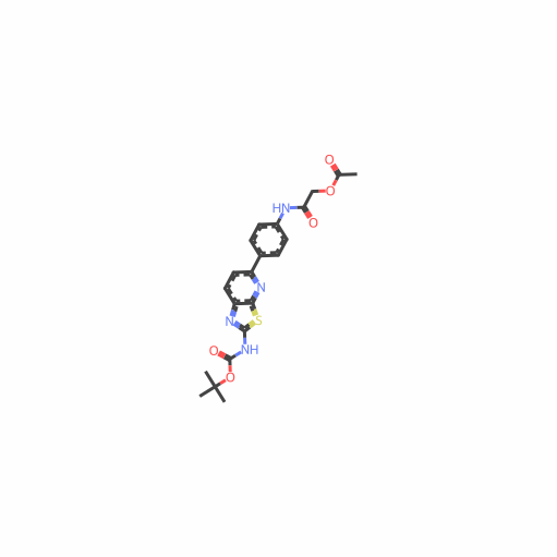 CC(=O)OCC(=O)Nc1ccc(-c2ccc3nc(NC(=O)OC(C)(C)C)sc3n2)cc1